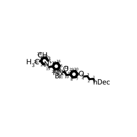 CCCCCCCCCCCCCCOc1ccc(CC(=O)Nc2cccc(C[n+]3ccc(C)c(C)c3)c2)cc1.[Br-]